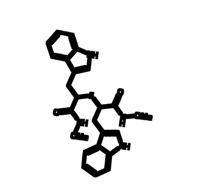 CONC(=O)C(Cc1c[nH]c2ccccc12)SC(Cc1c[nH]c2ccccc12)C(=O)NOC